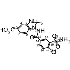 Cc1nc2cc(C(=O)O)ccc2n1NC(=O)c1ccc(Cl)c(S(N)(=O)=O)c1